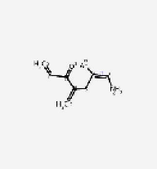 C=CC(=O)C(=C)C/C(=C\N)C(C)=O